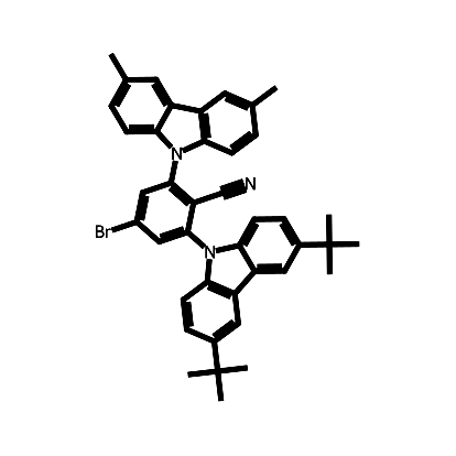 Cc1ccc2c(c1)c1cc(C)ccc1n2-c1cc(Br)cc(-n2c3ccc(C(C)(C)C)cc3c3cc(C(C)(C)C)ccc32)c1C#N